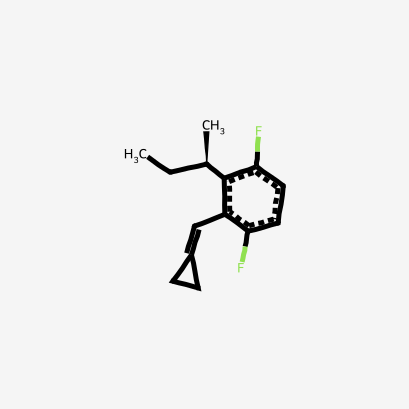 CC[C@@H](C)c1c(F)ccc(F)c1C=C1CC1